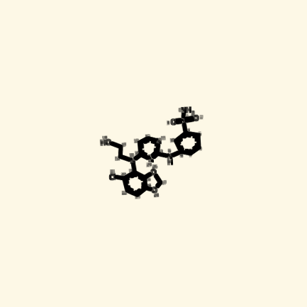 NS(=O)(=O)c1cccc(Nc2nccc(N(CCO)c3c(Cl)ccc4c3OCO4)n2)c1